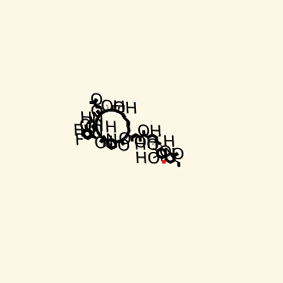 CC[C@H]1C[C@H](C)[C@@]2(NC1=O)O[C@@H](C[C@H](O)[C@@H](C)CCC(O)C(O)/C=C(\C)[C@@H]1C/C=C/C=C/[C@H](O)[C@H](C)[C@@H](O)[C@@H](CCC(C)=O)C(=O)N[C@@H](C(C)C)C(=O)N[C@@H](Cc3cc(O)c(F)c(F)c3)C(=O)N3CCCC(N3)C(=O)O1)[C@H](C)[C@H](O)[C@@H]2C